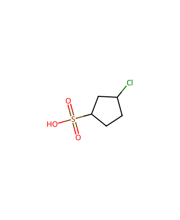 O=S(=O)(O)C1CCC(Cl)C1